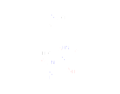 Cc1ncsc1-c1ccc(CNC(=O)[C@@H]2C[C@@H](O)CN2C(=O)C(C)N2CCNCC2=O)cc1